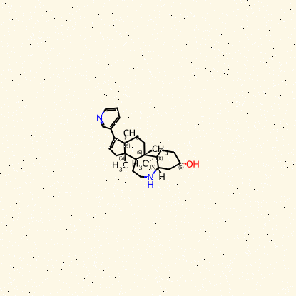 C[C@]12CC[C@]3(C)C(c4cccnc4)=CC[C@@]3(C)C1CCN[C@H]1C[C@@H](O)CC[C@@]12C